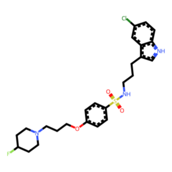 O=S(=O)(NCCCc1c[nH]c2ccc(Cl)cc12)c1ccc(OCCCN2CCC(F)CC2)cc1